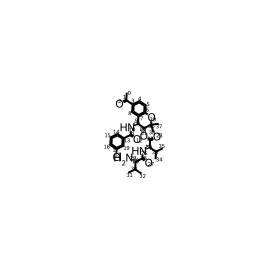 CC(=O)c1ccc2c(c1)[C@H](NC(=O)c1cccc(Cl)c1)[C@@H](OC(=O)[C@@H](NC(=O)[C@@H](N)C(C)C)C(C)C)C(C)(C)O2